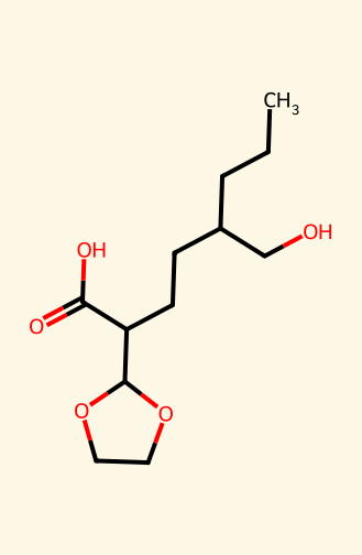 CCCC(CO)CCC(C(=O)O)C1OCCO1